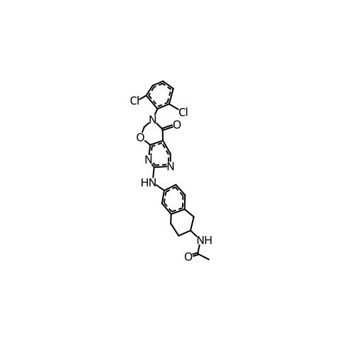 CC(=O)NC1CCc2cc(Nc3ncc4c(n3)OCN(c3c(Cl)cccc3Cl)C4=O)ccc2C1